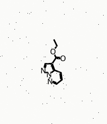 CCOC(=O)c1cnn2ncccc12